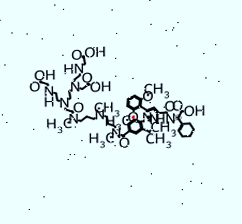 COc1cccc(OC)c1-c1cc(C(=O)N[C@H](C(=O)O)C2=CCCCC2)nn1-c1ccc(C(=O)N(C)CCCN(C)CCCN(C)C(=O)CN(CCNCC(=O)O)CCN(CCNCC(=O)O)CC(=O)O)cc1C(C)C